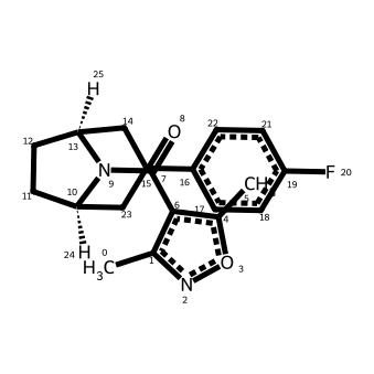 Cc1noc(C)c1C(=O)N1[C@@H]2CC[C@H]1CC(c1ccc(F)cc1)C2